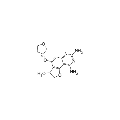 CC1COc2c1c(O[C@@H]1CCOC1)cc1nc(N)nc(N)c21